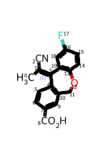 C/C(C#N)=C1\c2ccc(C(=O)O)cc2COc2ccc(F)cc21